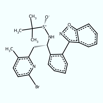 Cc1ccc(Br)nc1C[C@H](N[S@@+]([O-])C(C)(C)C)c1ccccc1-c1noc2ccccc12